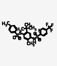 Cc1ccc(S(=O)(=O)Sc2cc(C)c(NS(=O)(=O)c3ccc(C(F)(F)F)cn3)cc2C(C)(C)C)cc1